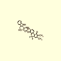 Cc1cc(C(F)(F)F)c(-c2ccc(C[C@H](NC(=O)c3[nH]c4ccccc4c3CO)C(=O)O)cc2)c(=O)n1C